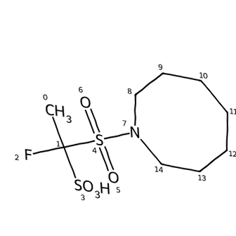 CC(F)(S(=O)(=O)O)S(=O)(=O)N1CCCCCCC1